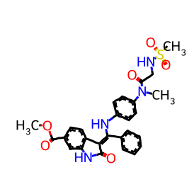 COC(=O)c1ccc2c(c1)NC(=O)C2=C(Nc1ccc(N(C)C(=O)CNS(C)(=O)=O)cc1)c1ccccc1